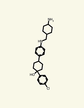 NC1CCC(CNc2ccc(C3CCC(O)(c4ccc(Cl)cc4)CC3)cc2)CC1